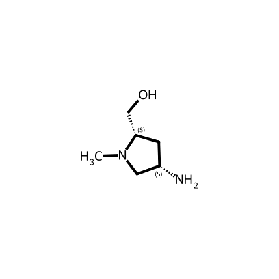 CN1C[C@@H](N)C[C@H]1CO